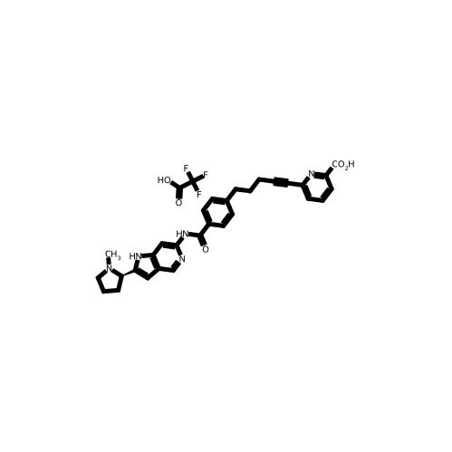 CN1CCC[C@@H]1c1cc2cnc(NC(=O)c3ccc(CCCC#Cc4cccc(C(=O)O)n4)cc3)cc2[nH]1.O=C(O)C(F)(F)F